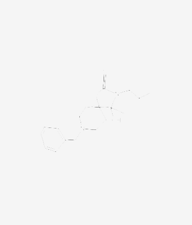 CCCN1C(=O)OC2(CCN(Cc3ccccc3)CC2)C1(C)O